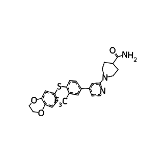 NC(=O)C1CCN(c2cc(-c3ccc(Sc4ccc5c(c4)OCCO5)c(C(F)(F)F)c3)ccn2)CC1